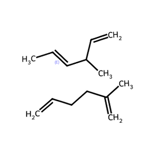 C=CC(C)/C=C/C.C=CCCC(=C)C